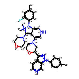 Cc1ccc(-n2nc(C3CN(C4=CNC=C5C4=C(N4CCOCC4)[N+](C)(C)N5c4ccc(C)cc4F)CCO3)c3ccncc32)cc1